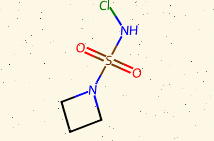 O=S(=O)(NCl)N1CCC1